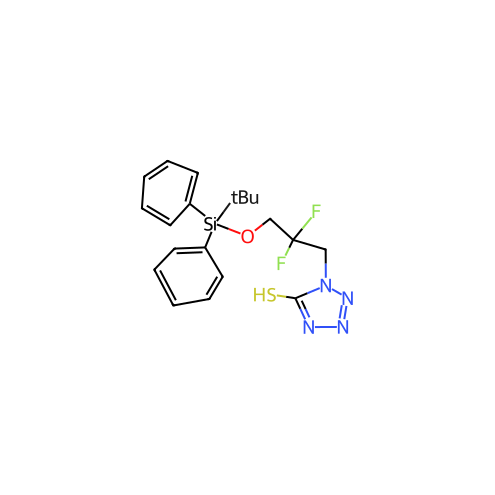 CC(C)(C)[Si](OCC(F)(F)Cn1nnnc1S)(c1ccccc1)c1ccccc1